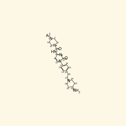 CC(=O)N1CCN(C(=O)Nc2ccn(-c3ccc(CCN4CCC(N)CC4)cc3)c(=O)n2)CC1